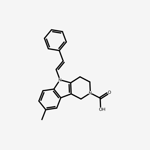 Cc1ccc2c(c1)c1c(n2C=Cc2ccccc2)CCN(C(=O)O)C1